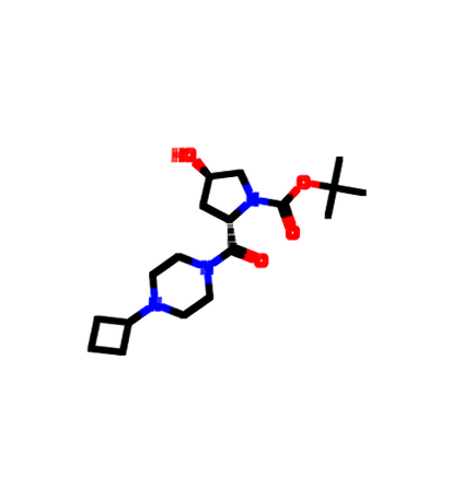 CC(C)(C)OC(=O)N1C[C@H](O)C[C@H]1C(=O)N1CCN(C2CCC2)CC1